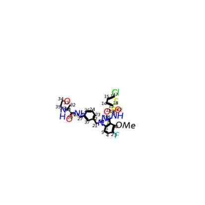 COc1c(F)ccc2c1c(NS(=O)(=O)c1ccc(Cl)s1)nn2Cc1cccc(CNC(=O)[C@H]2COCCN2)c1